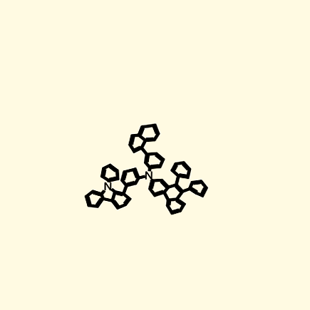 c1ccc(-c2c(-c3ccccc3)c3cc(N(c4cccc(-c5cccc6ccccc56)c4)c4cccc(-c5cccc6c7ccccc7n(-c7ccccc7)c56)c4)ccc3c3ccccc23)cc1